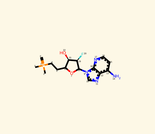 C=P(C)(C)CCC1OC(n2cnc3c(N)ccnc32)[C@H](F)[C@@H]1O